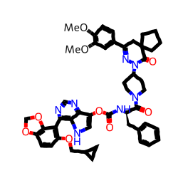 COc1ccc(C2=NN(C3CCN(C(=O)[C@@H](Cc4ccccc4)NC(=O)Oc4c[nH]c5c(-c6c(OCC7CC7)ccc7c6OCO7)ncnc45)CC3)C(=O)C3(CCCC3)C2)cc1OC